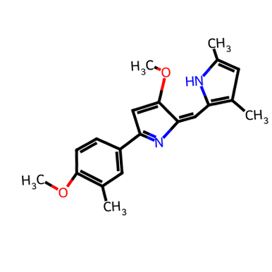 COC1=CC(c2ccc(OC)c(C)c2)=N/C1=C/c1[nH]c(C)cc1C